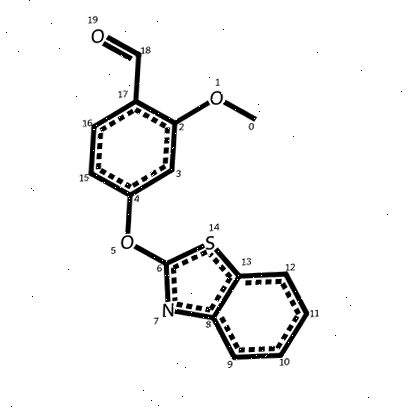 COc1cc(Oc2nc3ccccc3s2)ccc1C=O